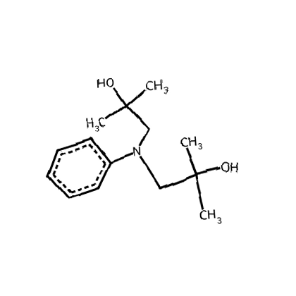 CC(C)(O)CN(CC(C)(C)O)c1ccccc1